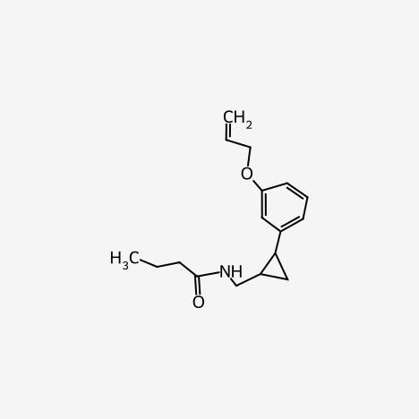 C=CCOc1cccc(C2CC2CNC(=O)CCC)c1